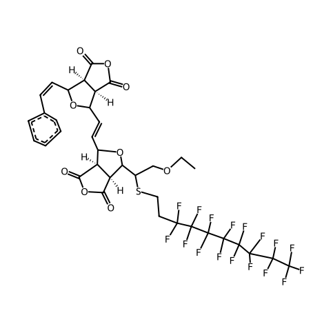 CCOCC(SCCC(F)(F)C(F)(F)C(F)(F)C(F)(F)C(F)(F)C(F)(F)C(F)(F)C(F)(F)F)C1OC(/C=C/C2OC(/C=C\c3ccccc3)[C@H]3C(=O)OC(=O)[C@@H]23)[C@@H]2C(=O)OC(=O)[C@H]12